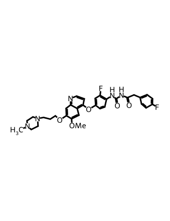 COc1cc2c(Oc3ccc(NC(=O)NC(=O)Cc4ccc(F)cc4)c(F)c3)ccnc2cc1OCCCN1CCN(C)CC1